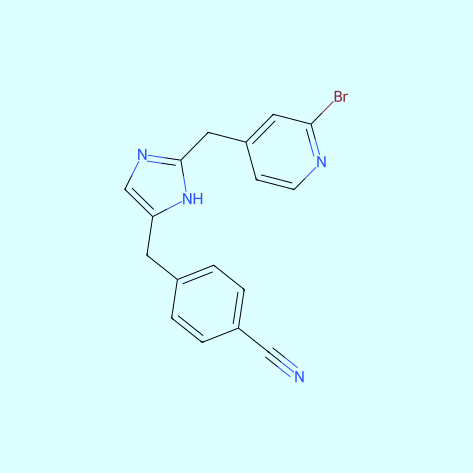 N#Cc1ccc(Cc2cnc(Cc3ccnc(Br)c3)[nH]2)cc1